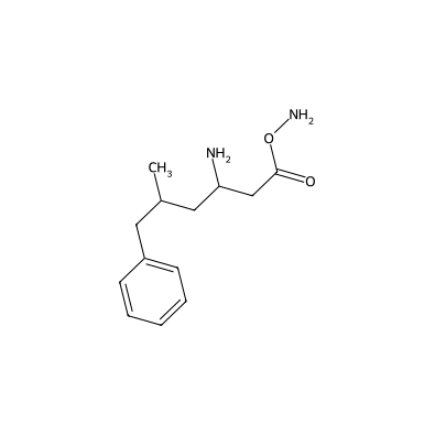 CC(Cc1ccccc1)CC(N)CC(=O)ON